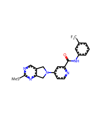 CSc1ncc2c(n1)CN(c1ccnc(C(=O)Nc3cccc(C(F)(F)F)c3)c1)C2